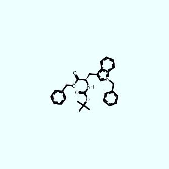 CC(C)(C)OC(=O)N[C@H](Cc1cn(Cc2ccccc2)c2ccccc12)C(=O)OCc1ccccc1